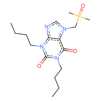 CCCCn1c(=O)c2c(ncn2CP(C)(C)=O)n(CCCC)c1=O